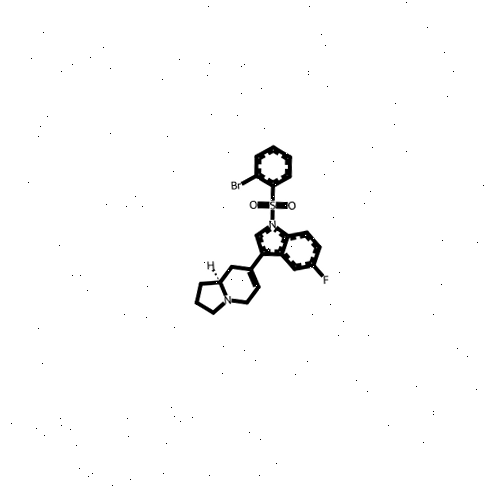 O=S(=O)(c1ccccc1Br)n1cc(C2=CCN3CCC[C@H]3C2)c2cc(F)ccc21